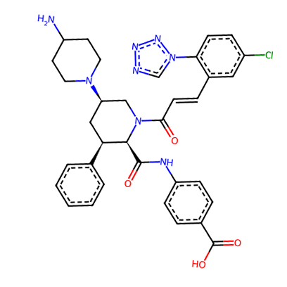 NC1CCN([C@@H]2C[C@H](c3ccccc3)[C@H](C(=O)Nc3ccc(C(=O)O)cc3)N(C(=O)C=Cc3cc(Cl)ccc3-n3cnnn3)C2)CC1